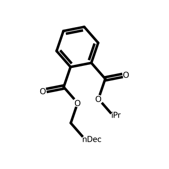 CCCCCCCCCCCOC(=O)c1ccccc1C(=O)OC(C)C